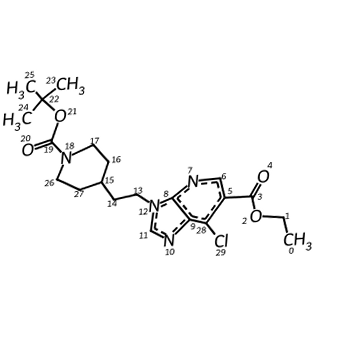 CCOC(=O)c1cnc2c(ncn2CCC2CCN(C(=O)OC(C)(C)C)CC2)c1Cl